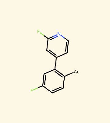 CC(=O)c1ccc(F)cc1-c1ccnc(F)c1